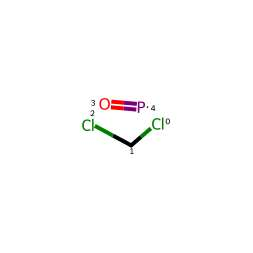 ClCCl.O=[P]